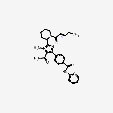 CC/C=C/C(=O)N1CCCCC1c1nc(-c2ccc(C(=O)Nc3ccccn3)cc2)c(C(N)=O)n1N